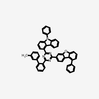 Cc1cccc(-c2ccccc2-c2nc(-c3ccc4c(c3)oc3cccc(-c5ccccc5)c34)nc(-c3cccc4c3c3ccccc3n4-c3ccccc3)n2)c1